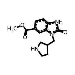 COC(=O)c1ccc2[nH]c(=O)n(CC3CCNC3)c2c1